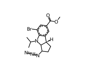 COC(=O)c1cc(Br)c2c(c1)[C@@H]1CCC(N=[N+]=[N-])C1N2C(C)C